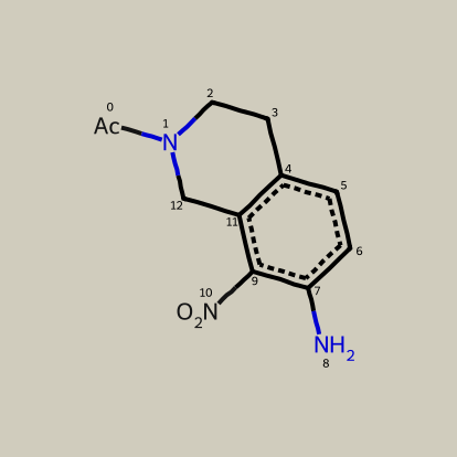 CC(=O)N1CCc2ccc(N)c([N+](=O)[O-])c2C1